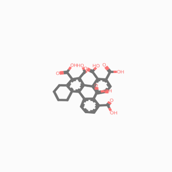 O=C(O)c1cccc(-c2c3c(c(C(=O)O)c(C(=O)O)c2-c2cccc(C(=O)O)c2C(=O)O)CCCC3)c1C(=O)O